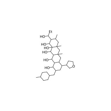 CCC(O)C1C(C)CC2(C)CC3(C)CC4C(C5CCOC5)CC(CC5CCC(C)CC5)C(O)C4C(O)C3C(O)C2(O)C1O